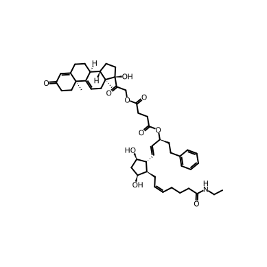 CCNC(=O)CCC/C=C\C[C@@H]1[C@@H](/C=C/[C@H](CCc2ccccc2)OC(=O)CCC(=O)OCC(=O)[C@@]2(O)CC[C@H]3[C@@H]4CCC5=CC(=O)CC[C@]5(C)C4=CC[C@@]32C)[C@H](O)C[C@@H]1O